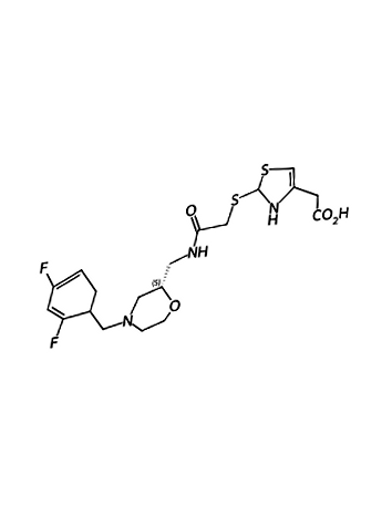 O=C(O)CC1=CSC(SCC(=O)NC[C@H]2CN(CC3CC=C(F)C=C3F)CCO2)N1